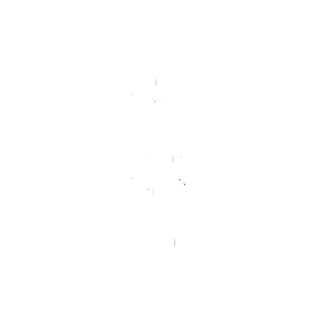 CC(C)c1nc2cc(Cl)c(Cl)cc2nc1S(=O)(=O)Cc1ccc(S(C)(=O)=O)cc1